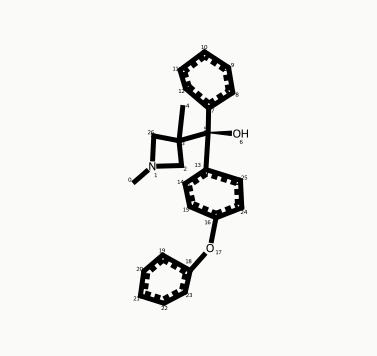 CN1CC(C)([C@](O)(c2ccccc2)c2ccc(Oc3ccccc3)cc2)C1